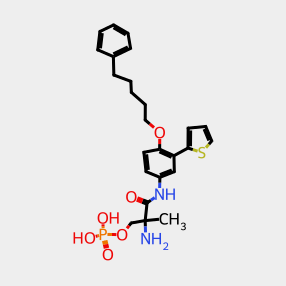 CC(N)(COP(=O)(O)O)C(=O)Nc1ccc(OCCCCCc2ccccc2)c(-c2cccs2)c1